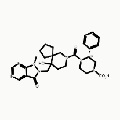 Cn1c2ncncc2c(=O)n1CC1(O)CCN(C(=O)N2CCN(C(=O)O)C[C@H]2c2ccccc2)CC12CCCC2